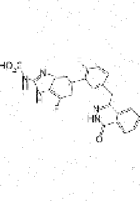 O=C(O)Nc1nc2cc(-c3cc(Cc4n[nH]c(=O)c5ccccc45)ccc3F)cc(F)c2[nH]1